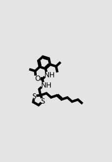 CCCCC=CCCC1(CNC(=O)Nc2c(C(C)C)cccc2C(C)C)SCCS1